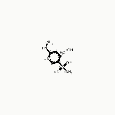 Cl.Cl.NNc1ccc(S(N)(=O)=O)cn1